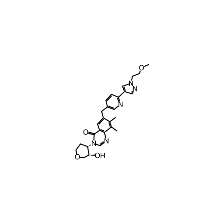 COCCn1cc(-c2ccc(Cc3cc4c(=O)n([C@H]5CCOC[C@@H]5O)cnc4c(C)c3C)cn2)cn1